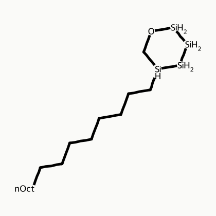 CCCCCCCCCCCCCCCC[SiH]1CO[SiH2][SiH2][SiH2]1